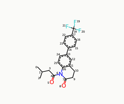 CC(C)CC(=O)N1C(=O)CCc2cc(-c3ccc(C(F)(F)F)cc3)ccc21